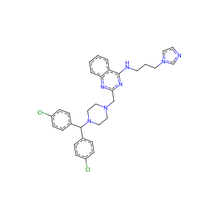 Clc1ccc(C(c2ccc(Cl)cc2)N2CCN(Cc3nc(NCCCn4ccnc4)c4ccccc4n3)CC2)cc1